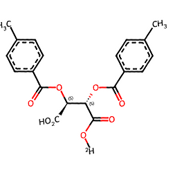 [2H]OC(=O)[C@@H](OC(=O)c1ccc(C)cc1)[C@H](OC(=O)c1ccc(C)cc1)C(=O)O